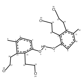 Cc1ccc(OPOc2ccc(C)c(CCCl)c2CCCl)c(CCCl)c1CCCl